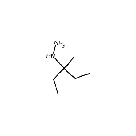 CCC(C)(CC)NN